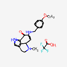 COc1ccc(CNC2=CC3c4c(c[nH]c4C2=O)CCN3C)cc1.O=C(O)C(F)(F)F